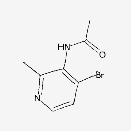 CC(=O)Nc1c(Br)ccnc1C